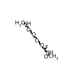 CNCCOCCOCCOCCOCC(F)CNC(C)=O